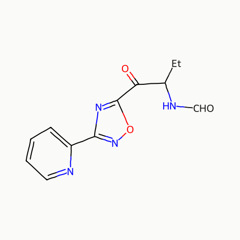 CCC(NC=O)C(=O)c1nc(-c2ccccn2)no1